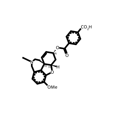 COc1ccc2c3c1O[C@H]1C[C@@H](OC(=O)c4ccc(C(=O)O)cc4)C=C[C@@]31CCN(C)C2